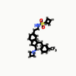 O=S(=O)(NCCc1ccc2c(c1)C(Cc1cccc(C(F)(F)F)c1)C(CN1CCC1)C2)C1CCC1